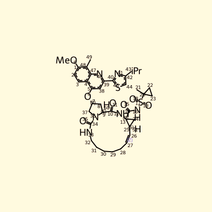 COc1ccc2c(O[C@@H]3C[C@H]4C(=O)N[C@]5(C(=O)NS(=O)(=O)C6(C)CC6)C[C@H]5/C=C\CCCCCNC(=O)N4C3)cc(-c3nc(C(C)C)cs3)nc2c1C